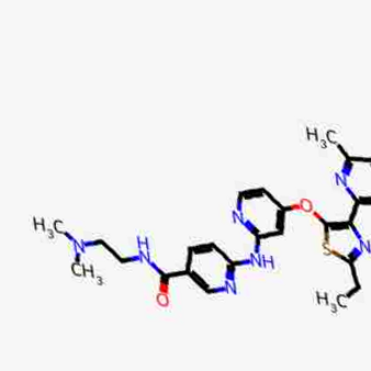 CCc1nc(-c2cccc(C)n2)c(Oc2ccnc(Nc3ccc(C(=O)NCCN(C)C)cn3)c2)s1